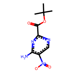 CC(C)(C)OC(=O)c1ncc([N+](=O)[O-])c(N)n1